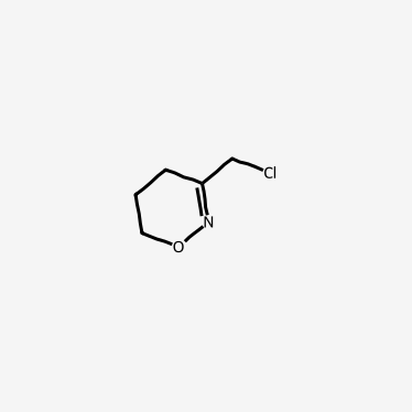 ClCC1=NOCCC1